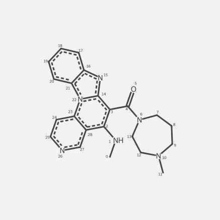 CNc1c(C(=O)N2CCCN(C)CC2)c2nc3ccccc3n2c2ccncc12